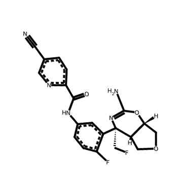 N#Cc1ccc(C(=O)Nc2ccc(F)c([C@@]3(CF)N=C(N)O[C@@H]4COC[C@@H]43)c2)nc1